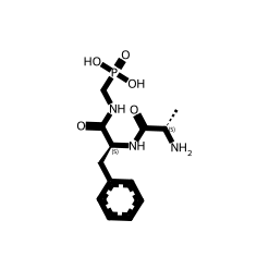 C[C@H](N)C(=O)N[C@@H](Cc1ccccc1)C(=O)NCP(=O)(O)O